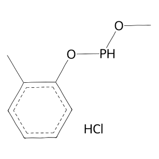 COPOc1ccccc1C.Cl